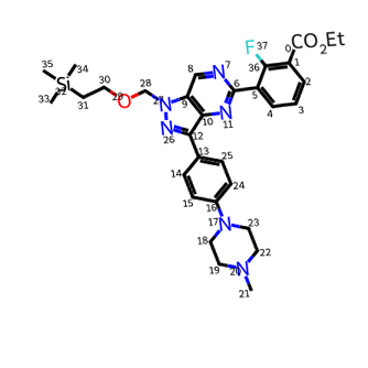 CCOC(=O)c1cccc(-c2ncc3c(n2)c(-c2ccc(N4CCN(C)CC4)cc2)nn3COCC[Si](C)(C)C)c1F